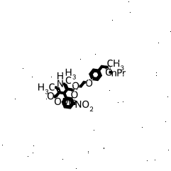 CCCO[C@@H](C)Cc1ccc(OCCOC(=O)C2=C(C)NC(C)=C(C(=O)OC)C2c2cccc([N+](=O)[O-])c2)cc1